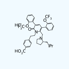 CC(C)C[C@H]1CCCN1Cc1c(-c2ccccc2OC(F)(F)F)cc(-c2ccccc2OC(F)(F)F)c(=O)n1CCc1ccc(C(=O)O)cc1.Cl